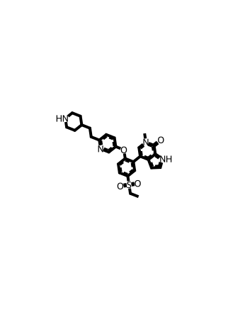 CCS(=O)(=O)c1ccc(Oc2ccc(CCC3CCNCC3)nc2)c(-c2cn(C)c(=O)c3[nH]ccc23)c1